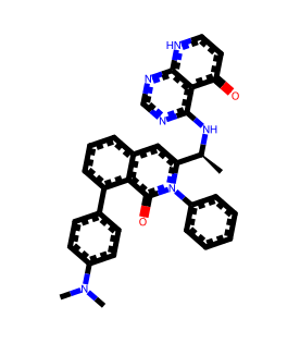 C[C@H](Nc1ncnc2[nH]ccc(=O)c12)c1cc2cccc(-c3ccc(N(C)C)cc3)c2c(=O)n1-c1ccccc1